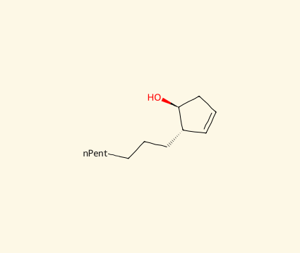 CCCCCCCC[C@H]1C=CC[C@@H]1O